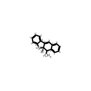 CC1c2ccccc2C=C2c3ccccc3S[C@H]21